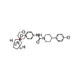 O=C(Nc1ccc(O[C@H]2C[C@H]3CC[C@@H](C2)N3C2CCOCC2)cc1)N1CCC(c2ccc(Cl)cc2)CC1